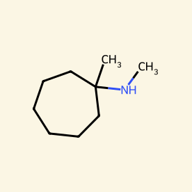 CNC1(C)CCCCCC1